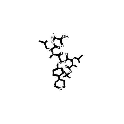 CC(C)C[C@@H](C(=O)O[C@H](Cc1ccc(C2CCOCC2)cc1)C(=O)N(C)[C@@H](CC(C)C)C(=O)O[C@H](C)C(=O)O)N(C)C(=O)OC(C)(C)C